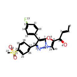 CC=CC(=O)c1oc2c(-c3ccc(F)cc3)c(-c3ccc(S(C)(=O)=O)cc3)nn2c1C